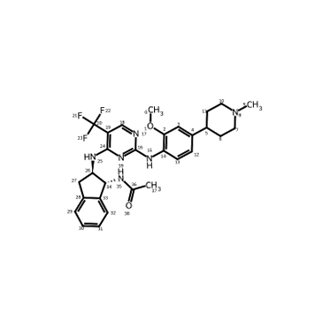 COc1cc(C2CCN(C)CC2)ccc1Nc1ncc(C(F)(F)F)c(N[C@@H]2Cc3ccccc3[C@H]2NC(C)=O)n1